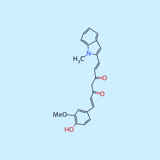 COc1cc(C=CC(=O)CC(=O)C=Cc2cc3ccccc3n2C)ccc1O